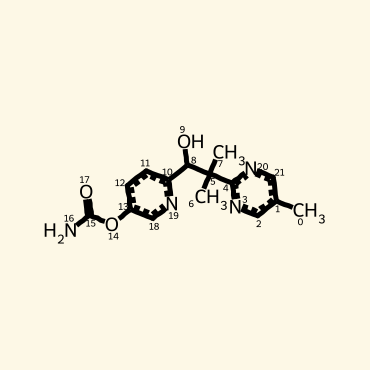 Cc1cnc(C(C)(C)C(O)c2ccc(OC(N)=O)cn2)nc1